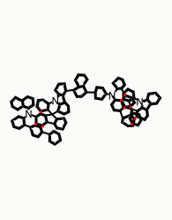 c1ccc(-c2ccc(-c3ccccc3N(c3ccc(-c4ccc(-c5cccc6c5c5cccc7c5n6-c5ccccc5C75c6ccccc6-c6ccc(N(c7ccccc7-c7ccc(-c8ccccc8)cc7)c7cccc8ccccc78)cc65)c5ccccc45)cc3)c3ccc4c(c3)C3(c5ccccc5-4)c4ccccc4-n4c5ccccc5c5cccc3c54)cc2)cc1